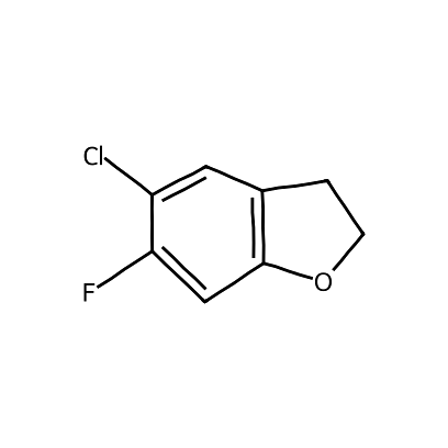 Fc1cc2c(cc1Cl)CCO2